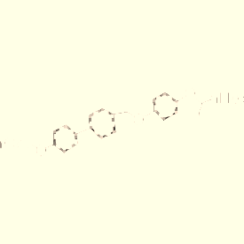 CCCCCCCCOc1ccc(-c2ccc(COc3ccc(OC(C)CCCCCC)cc3)cc2)cc1